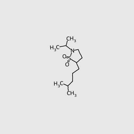 CC(C)CCCC1CCN(C(C)C)S1(=O)=O